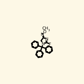 CON=C1CN(C(c2ccccc2)(c2ccccc2)c2ccccc2)C(F)=N1